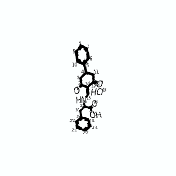 Cl.O=C1CC(c2ccccc2)CC(=O)C1=CNC(Cc1ccccc1)C(=O)O